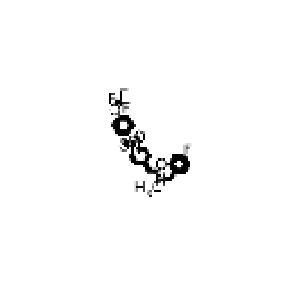 CN(Cc1ccc(F)cc1)C(=O)C=C1CCN(S(=O)(=O)c2ccc(OC(F)(F)F)cc2)CC1